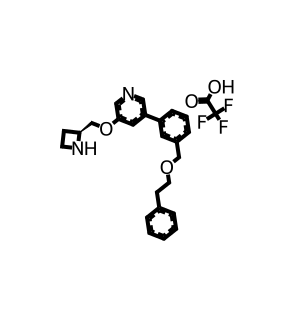 O=C(O)C(F)(F)F.c1ccc(CCOCc2cccc(-c3cncc(OC[C@@H]4CCN4)c3)c2)cc1